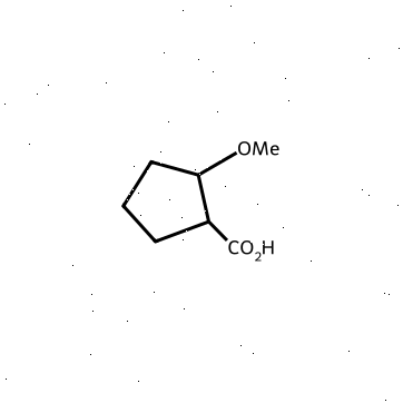 COC1CCCC1C(=O)O